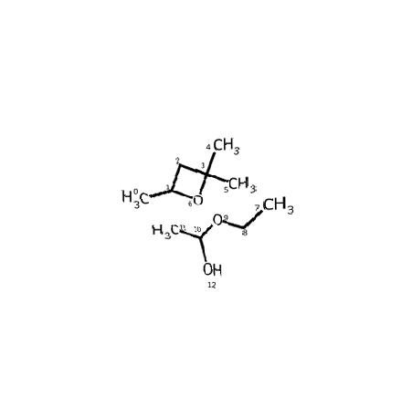 CC1CC(C)(C)O1.CCOC(C)O